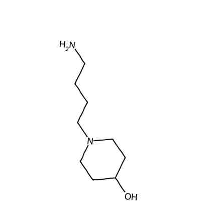 NCCCCN1CCC(O)CC1